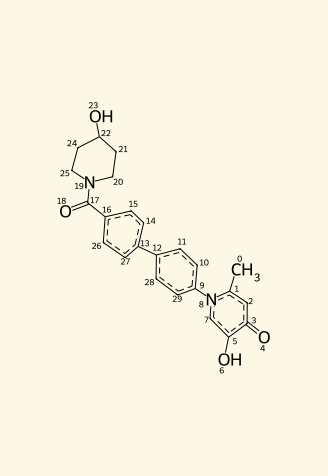 Cc1cc(=O)c(O)cn1-c1ccc(-c2ccc(C(=O)N3CCC(O)CC3)cc2)cc1